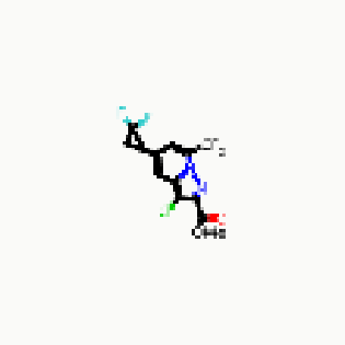 COC(=O)c1nn2c(C(F)(F)F)cc(C3CC3(F)F)cc2c1Cl